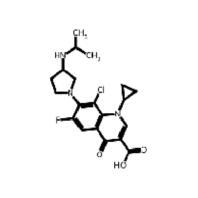 CC(C)NC1CCN(c2c(F)cc3c(=O)c(C(=O)O)cn(C4CC4)c3c2Cl)C1